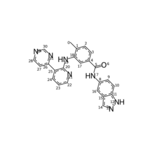 Cc1ccc(C(=O)Nc2ccc3[nH]ncc3c2)cc1Nc1ncccc1-c1ccncn1